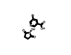 O=C(O)c1cncc(Br)c1.O=C1CCC(=O)N1O